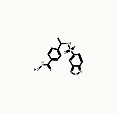 CC(NS(=O)(=O)c1ccc2nsnc2c1)c1ccc(C(=O)NO)cc1